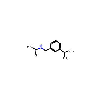 CC(C)NCc1cccc(C(C)C)c1